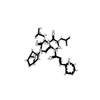 CC(C)C[C@H]1ON(C(=O)/C=C/c2ccccn2)C2=CN(C3CC4CCC(C3)N4C)C(=O)[C@H](CC(C)C)N2C1=O